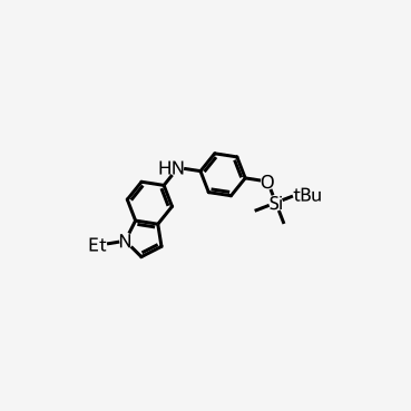 CCn1ccc2cc(Nc3ccc(O[Si](C)(C)C(C)(C)C)cc3)ccc21